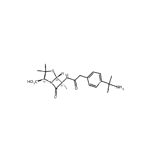 CC(C)(N)c1ccc(CC(=O)N[C@@]2(C)C(=O)N3[C@@H](C(=O)O)C(C)(C)S[C@@H]32)cc1